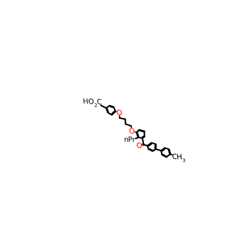 CCCc1c(OCCCCOc2ccc(CC(=O)O)cc2)cccc1C(=O)c1ccc(-c2ccc(C)cc2)cc1